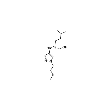 COCCn1cc(N[C@@H](CO)CCC(C)C)cn1